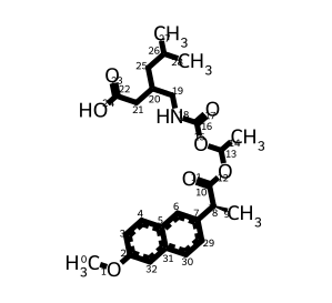 COc1ccc2cc([C@H](C)C(=O)OC(C)OC(=O)NCC(CC(=O)O)CC(C)C)ccc2c1